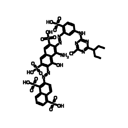 CCC(CC)c1nc(Cl)nc(Nc2ccc(S(=O)(=O)O)c(/N=N/c3c(S(=O)(=O)O)cc4cc(S(=O)(=O)O)c(/N=N/c5ccc6c(S(=O)(=O)O)cccc6c5S(=O)(=O)O)c(O)c4c3N)c2)n1